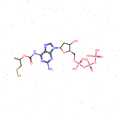 CC(CSS)OC(=O)Nc1nc(N)nc2c1ncn2[C@H]1CC(O)[C@@H](COP(=O)(O)OP(=O)(O)OP(=O)(O)O)O1